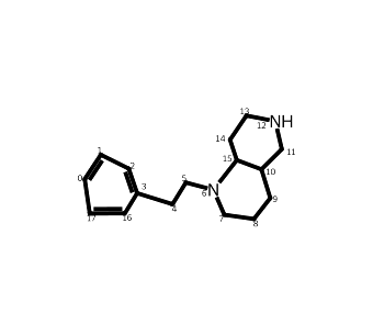 c1ccc(CCN2CCCC3CNCCC32)cc1